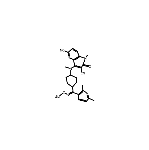 Cc1ccc(/C(=N/OC(C)(C)C)C2CCC(N(C)c3c(C#N)c(=O)n(C)c4ccc(C#N)nc34)CC2)c(C)n1